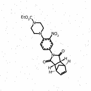 CCOC(=O)N1CCN(c2ccc(N3C(=O)[C@@H]4[C@H](C3=O)[C@H]3C=C[C@@H]4C3)cc2[N+](=O)[O-])CC1